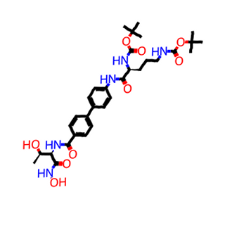 C[C@@H](O)[C@H](NC(=O)c1ccc(-c2ccc(NC(=O)[C@H](CCCNC(=O)OC(C)(C)C)NC(=O)OC(C)(C)C)cc2)cc1)C(=O)NO